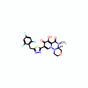 CN1C(=O)c2c(O)c(=O)c(-c3nnc(Cc4c(F)cc(F)cc4F)s3)cn2N2CCOC[C@@H]12